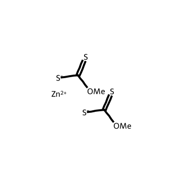 COC(=S)[S-].COC(=S)[S-].[Zn+2]